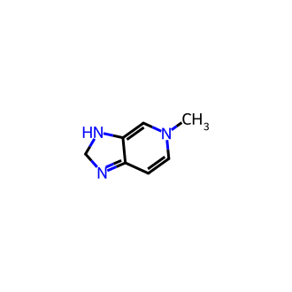 CN1C=CC2=NCNC2=C1